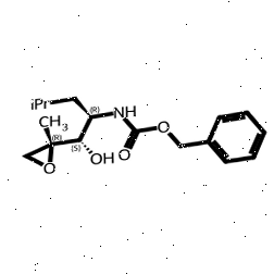 CC(C)C[C@@H](NC(=O)OCc1ccccc1)[C@H](O)[C@@]1(C)CO1